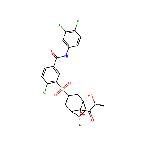 C[C@H](O)C(=O)[C@@]1(O)C2CC(S(=O)(=O)c3cc(C(=O)Nc4ccc(F)c(F)c4)ccc3Cl)CC1[C@@H](C)C2